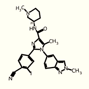 Cc1c(C(=O)N[C@@H]2CCCN(C)C2)nc(-c2ccc(C#N)c(I)c2)n1-c1ccc2nn(C)cc2c1